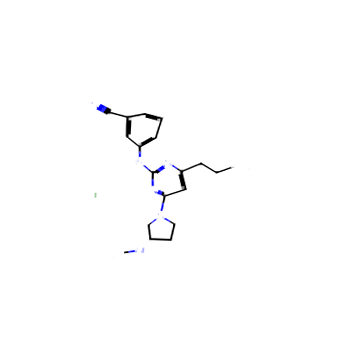 CCCc1cc(N2CC[C@H](NC)C2)nc(Nc2cccc(C#N)c2)n1.Cl.Cl